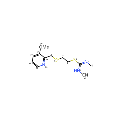 C/N=C(\NC#N)SCCSCc1ncccc1OC